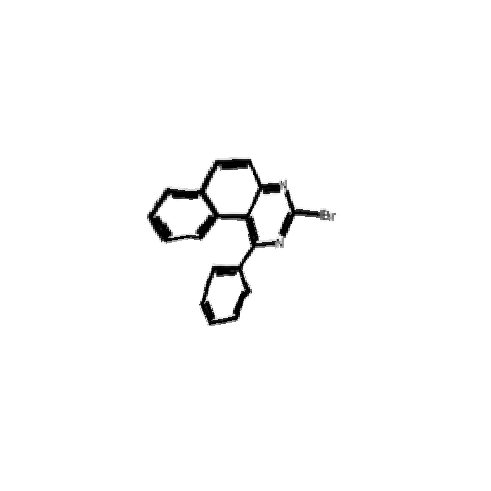 Brc1nc(-c2ccccc2)c2c(ccc3ccccc32)n1